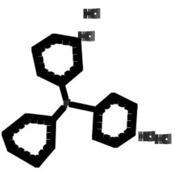 Cl.Cl.Cl.Cl.c1ccc(P(c2ccccc2)c2ccccc2)cc1